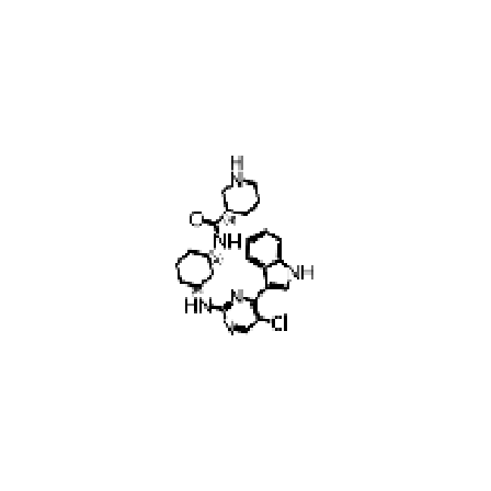 O=C(N[C@H]1CCC[C@@H](Nc2ncc(Cl)c(-c3c[nH]c4ccccc34)n2)C1)[C@@H]1CCCNC1